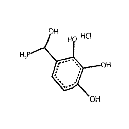 Cl.Oc1ccc(C(O)P)c(O)c1O